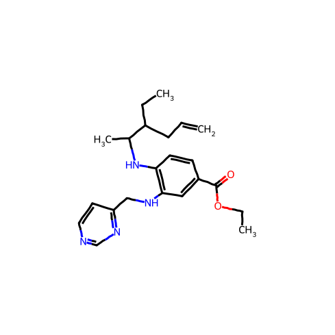 C=CCC(CC)C(C)Nc1ccc(C(=O)OCC)cc1NCc1ccncn1